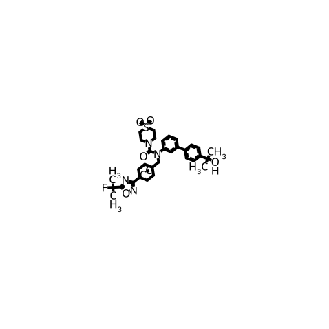 CC(C)(O)c1ccc(-c2cccc(N(CC34CCC(c5noc(C(C)(C)F)n5)(CC3)CC4)C(=O)N3CCS(=O)(=O)CC3)c2)cc1